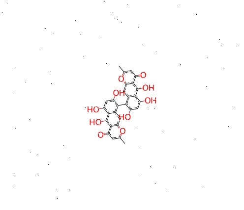 Cc1cc(=O)c2c(O)c3c(O)cc(O)c(-c4c(O)cc(O)c5c(O)c6c(=O)cc(C)oc6cc45)c3cc2o1